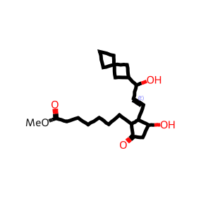 COC(=O)CCCCCCC1C(=O)CC(O)C1/C=C/C(O)C1CC2(CCC2)C1